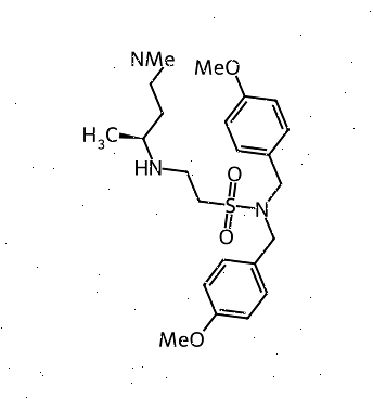 CNCC[C@H](C)NCCS(=O)(=O)N(Cc1ccc(OC)cc1)Cc1ccc(OC)cc1